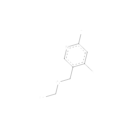 CCNCc1cnc(F)cc1I